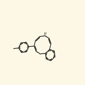 Cc1ccc(C2=C/Cc3ccccc3/C=C\N/C=C\2)cc1